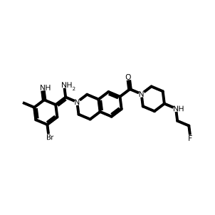 CC1=CC(Br)=C/C(=C(/N)N2CCc3ccc(C(=O)N4CCC(NCCF)CC4)cc3C2)C1=N